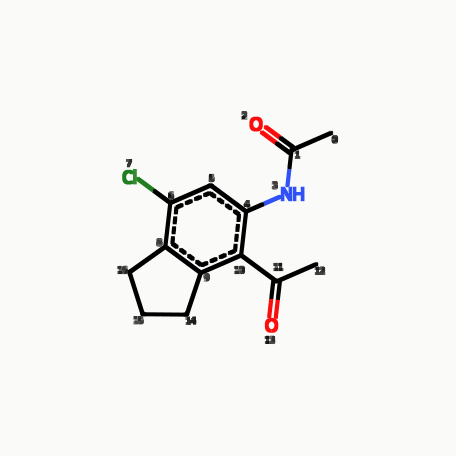 CC(=O)Nc1cc(Cl)c2c(c1C(C)=O)CCC2